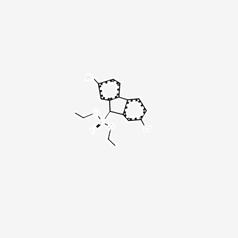 CCOP(=O)(OCC)C1c2cc(Br)ccc2-c2ccc(Br)cc21